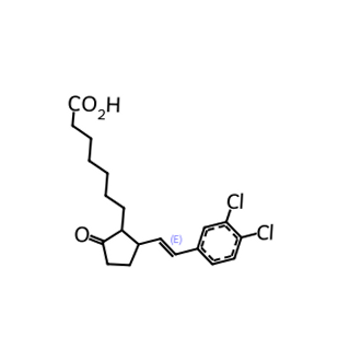 O=C(O)CCCCCCC1C(=O)CCC1/C=C/c1ccc(Cl)c(Cl)c1